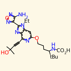 CCn1c(-c2nonc2N)nc2c(C#CC(C)(C)O)nc(OCCCC(NC(=O)O)C(C)(C)C)cc21